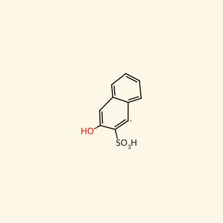 O=S(=O)(O)c1[c]c2ccccc2cc1O